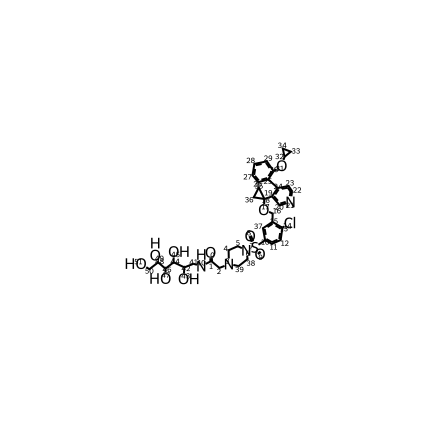 O=C(CN1CCN(S(=O)(=O)c2ccc(Cl)c(COC3(c4cnccc4-c4ccccc4OC4CC4)CC3)c2)CC1)NCC(O)C(O)C(O)C(O)CO